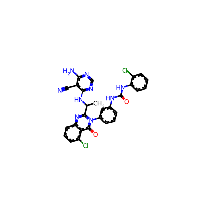 CC(Nc1ncnc(N)c1C#N)c1nc2cccc(Cl)c2c(=O)n1-c1cccc(NC(=O)Nc2ccccc2Cl)c1